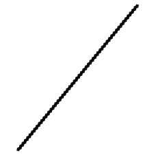 CCCCCCCCCCCCCCCCCCCCCCCCCCCCCCCCCCCCCCCCCCCCCCCCCCCCCCCCCCCCCCCCCCCCCCCCCCCCCCCCCCCCCCCCCCCCCCCCCCCCCCCC